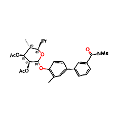 CNC(=O)c1cccc(-c2ccc(O[C@H]3O[C@H](C(C)C)[C@@H](C)[C@H](OC(C)=O)[C@@H]3OC(C)=O)c(C)c2)c1